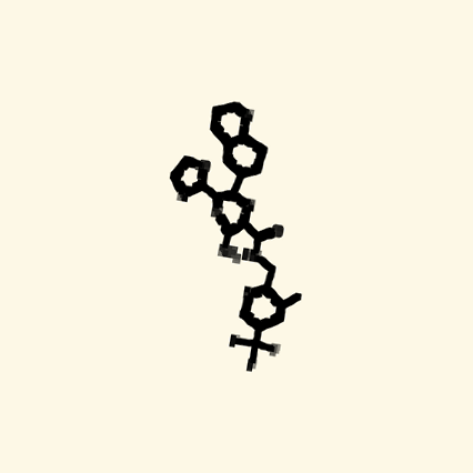 Cc1cc(C(F)(F)F)cnc1CNC(=O)c1nc(-c2ccc3ncccc3c2)c(-c2ncco2)nc1N